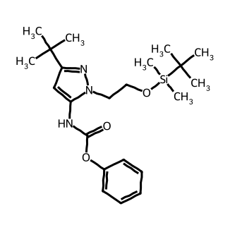 CC(C)(C)c1cc(NC(=O)Oc2ccccc2)n(CCO[Si](C)(C)C(C)(C)C)n1